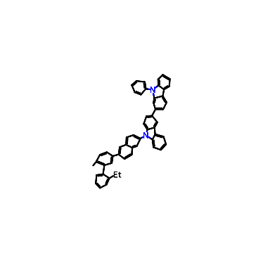 CCc1ccccc1-c1cc(-c2ccc3cc(-n4c5ccccc5c5cc(-c6ccc7c8ccccc8n(-c8ccccc8)c7c6)ccc54)ccc3c2)ccc1C